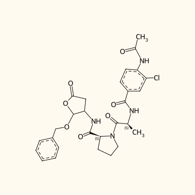 CC(=O)Nc1ccc(C(=O)N[C@@H](C)C(=O)N2CCC[C@H]2C(=O)NC2CC(=O)OC2OCc2ccccc2)cc1Cl